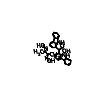 CC(=N\O)/C(C)=N/O.O=C(O)C(c1cccc2c1[nH]c1ccccc12)c1cccc2c1[nH]c1ccccc12